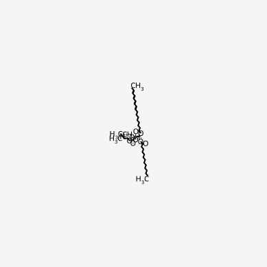 CC/C=C/C=C/C=C/C=C/CCCCCCCC(=O)O[C@H](COC(=O)CCCCCCCCCCCCC)COP(=O)(O)OCC[N+](C)(C)C